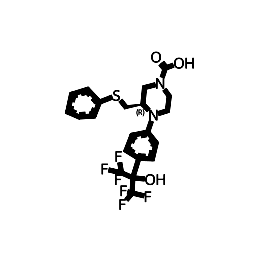 O=C(O)N1CCN(c2ccc(C(O)(C(F)(F)F)C(F)(F)F)cc2)[C@@H](CSc2ccccc2)C1